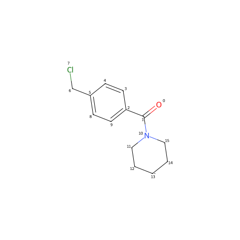 O=C(c1ccc(CCl)cc1)N1CC[CH]CC1